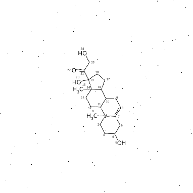 CC12CCC(O)CC1=CCC1C2CCC2(C)C1CCC2(O)C(=O)CO